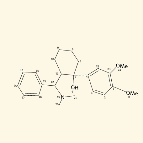 COc1ccc(C2(O)CCCCC2C(c2ccccc2)N(C)C)cc1OC